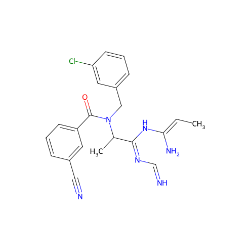 C/C=C(\N)N/C(=N\C=N)C(C)N(Cc1cccc(Cl)c1)C(=O)c1cccc(C#N)c1